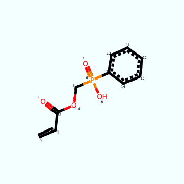 C=CC(=O)OCP(=O)(O)c1ccccc1